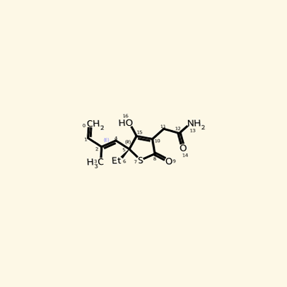 C=C/C(C)=C/[C@@]1(CC)SC(=O)C(CC(N)=O)=C1O